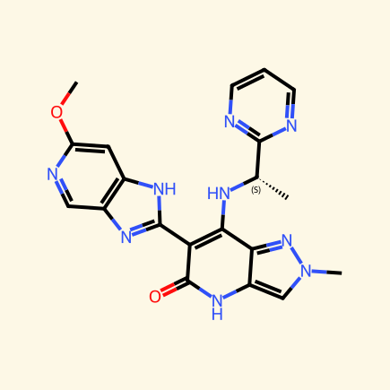 COc1cc2[nH]c(-c3c(N[C@@H](C)c4ncccn4)c4nn(C)cc4[nH]c3=O)nc2cn1